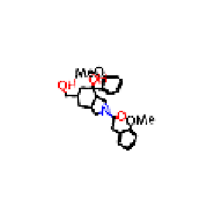 COc1ccccc1CC(=O)N1CC2CC(CO)CC(O)(c3ccccc3OC)C2C1